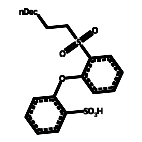 CCCCCCCCCCCCS(=O)(=O)c1ccccc1Oc1ccccc1S(=O)(=O)O